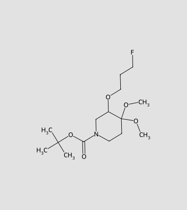 COC1(OC)CCN(C(=O)OC(C)(C)C)CC1OCCCF